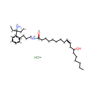 CCCCCCC(O)C/C=C\CCCCCCCC(=O)NCCCc1ccccc1C(N)(CC)CC.Cl